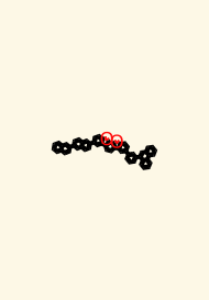 c1cc(-c2ccc3oc4c(ccc5c6cc(-c7ccc8cc(-c9ccc%10ccccc%10c9)ccc8c7)ccc6oc54)c3c2)cc(-c2cc3ccccc3c3ccccc23)c1